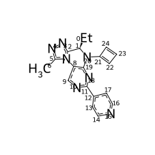 CC[C@@H]1c2nnc(C)n2-c2cnc(-c3ccncc3)nc2N1C1=CC=C1